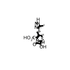 Cc1[nH]nnc1SCC1=C(C(=O)O)N2C(=O)[C@@H](O)[C@@H]2SC1